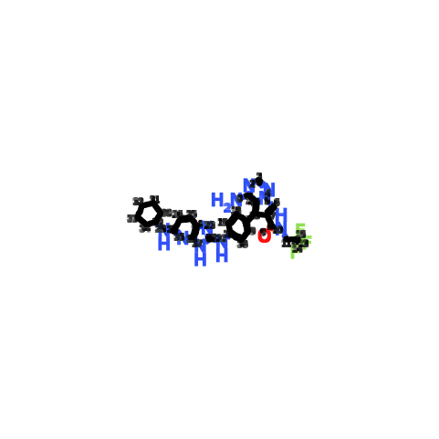 Nc1ncnn2cc(C(=O)NCC(F)(F)F)c(-c3ccc(Nc4nc5ccc(NC6CCCCC6)nc5[nH]4)cc3)c12